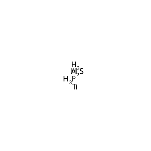 P.S.[AlH3].[Ti]